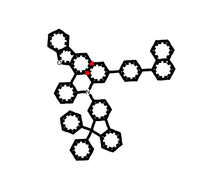 c1ccc(C2(c3ccccc3)c3ccccc3-c3ccc(N(c4cccc(-c5ccc(-c6cccc7ccccc67)cc5)c4)c4ccccc4-c4cccc5c4oc4ccccc45)cc32)cc1